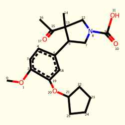 COc1ccc(C2CN(C(=O)O)CC2(C)C(C)=O)cc1OC1CCCC1